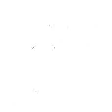 CCc1csc([C@H](Cc2ccc(NS(=O)(=O)O)cc2)NC(=O)Oc2ccccc2F)n1